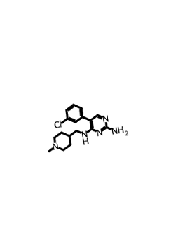 CN1CCC(CNc2nc(N)ncc2-c2cccc(Cl)c2)CC1